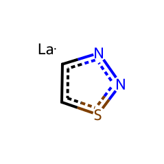 [La].c1csnn1